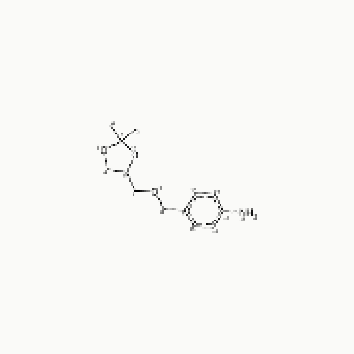 CC1(C)OCC(COCc2ccc(N)cc2)O1